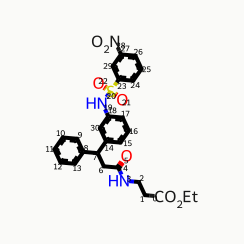 CCOC(=O)CCNC(=O)CC(c1ccccc1)c1cccc(NS(=O)(=O)c2cccc([N+](=O)[O-])c2)c1